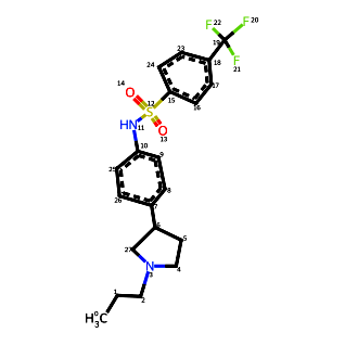 CCCN1CCC(c2ccc(NS(=O)(=O)c3ccc(C(F)(F)F)cc3)cc2)C1